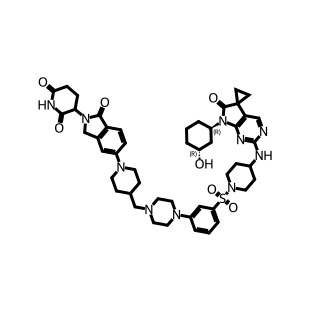 O=C1CCC(N2Cc3cc(N4CCC(CN5CCN(c6cccc(S(=O)(=O)N7CCC(Nc8ncc9c(n8)N([C@@H]8CCC[C@@H](O)C8)C(=O)C98CC8)CC7)c6)CC5)CC4)ccc3C2=O)C(=O)N1